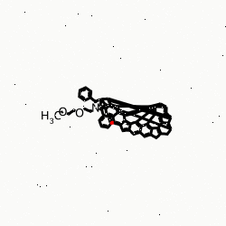 COCCOCCN1C(c2ccccc2)C2C3=c4c5c6c7c8c9c(cc%10cc%11cc%12cc%13c%14c(c4c6c4c%14c%12c6c%11c%10c9c7c64)=C(C3)C%13)=CC3CC2(C=5C83)C1c1ccccc1